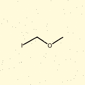 COCI